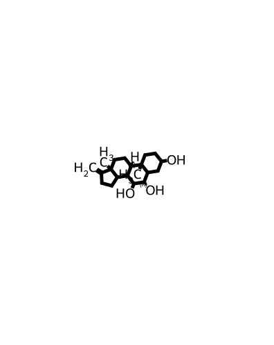 C=C1CCC2C3C(O)[C@H](O)C4CC(O)CCC4(C)[C@H]3CCC12C